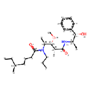 CCCN(C(=O)CCC[C@@H](C)CC)[C@@H](C)[C@H](OC)[C@@H](C)C(=O)N[C@H](C)[C@@H](O)c1ccccc1